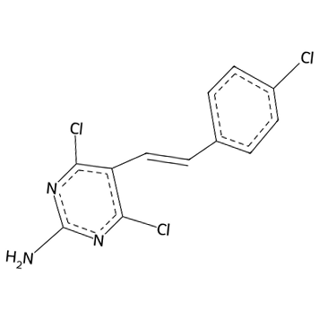 Nc1nc(Cl)c(/C=C/c2ccc(Cl)cc2)c(Cl)n1